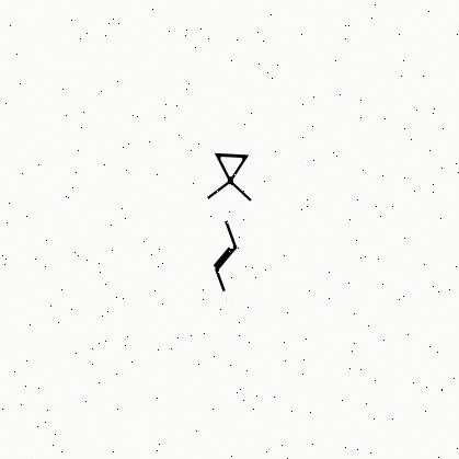 CC1(C)CC1.CC=CC(C)(C)C